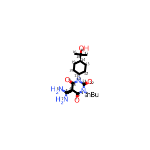 CCCCN1C(=O)C(=C(N)N)C(=O)N([C@H]2CC[C@H](C(C)(C)O)CC2)C1=O